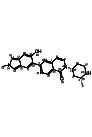 C[C@@H]1C[C@H](n2ccc3nc(-c4cc5cn(C)nc5cc4O)ncc3c2=O)CCN1